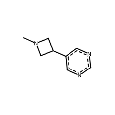 CN1CC(c2cncnc2)C1